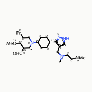 CNCCN(C)Cc1c[nH]nc1[C@H]1CC[C@H](N(CCC(C)C)CC(C=O)COC)CC1